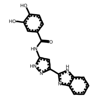 O=C(Nc1cc(-c2nc3ccccc3[nH]2)n[nH]1)c1ccc(O)c(O)c1